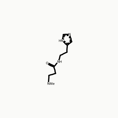 CNCCC(=O)NCCc1cnc[nH]1